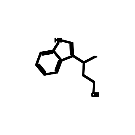 [CH2]C(CCO)c1c[nH]c2ccccc12